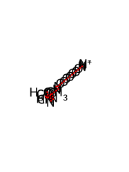 COc1cc(Nc2c(C#N)cnc3cc(OCCCN4CCN(CCOCCOCCOCCOCCOCCOCCOCCN=[N+]=[N-])CC4)c(OC)cc23)c(Cl)cc1Cl